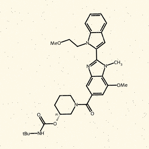 COCCn1c(-c2nc3cc(C(=O)N4CCC[C@@H](OC(=O)NC(C)(C)C)C4)cc(OC)c3n2C)cc2ccccc21